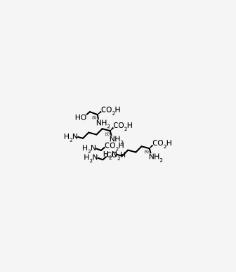 NCC(=O)O.NCC(=O)O.NCCCC[C@H](N)C(=O)O.NCCCC[C@H](N)C(=O)O.N[C@@H](CO)C(=O)O